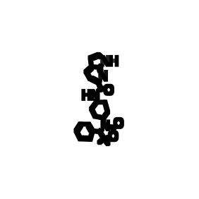 CC1(C)OC(=O)N(C2CCC(NC(=O)c3ccc4cc[nH]c4n3)CC2)C1c1ccccc1